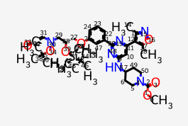 COC(=O)N1CCC(Nc2cc(-c3c(C)noc3C)nc(-c3cccc(OC[C@@H](CN(C=C=O)OC(C)(C)C)O[Si](C)(C)C(C)(C)C)c3)n2)CC1